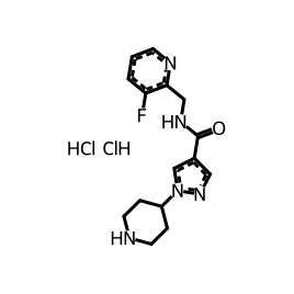 Cl.Cl.O=C(NCc1ncccc1F)c1cnn(C2CCNCC2)c1